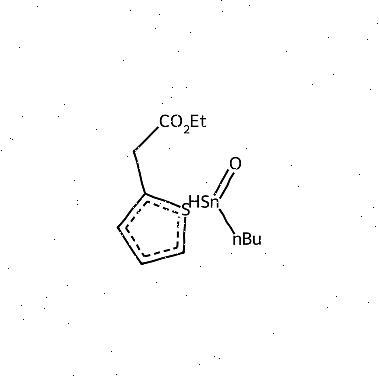 CCC[CH2][SnH]=[O].CCOC(=O)Cc1cccs1